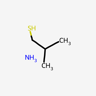 CC(C)CS.N